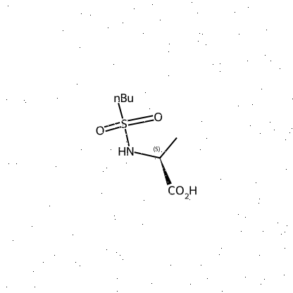 CCCCS(=O)(=O)N[C@@H](C)C(=O)O